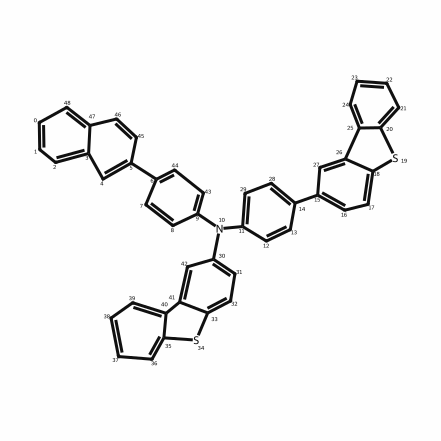 c1ccc2cc(-c3ccc(N(c4ccc(-c5ccc6sc7ccccc7c6c5)cc4)c4ccc5sc6ccccc6c5c4)cc3)ccc2c1